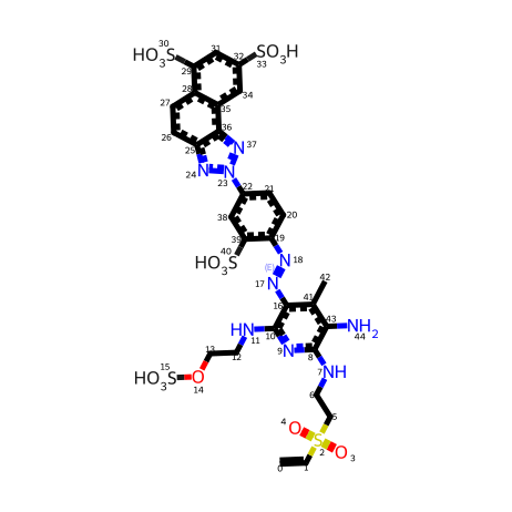 C=CS(=O)(=O)CCNc1nc(NCCOS(=O)(=O)O)c(/N=N/c2ccc(-n3nc4ccc5c(S(=O)(=O)O)cc(S(=O)(=O)O)cc5c4n3)cc2S(=O)(=O)O)c(C)c1N